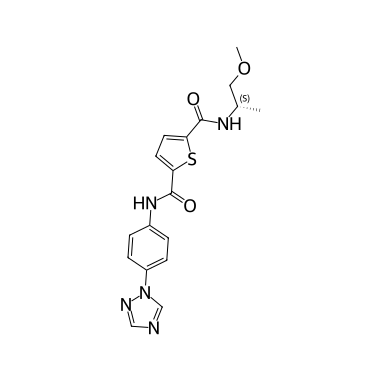 COC[C@H](C)NC(=O)c1ccc(C(=O)Nc2ccc(-n3cncn3)cc2)s1